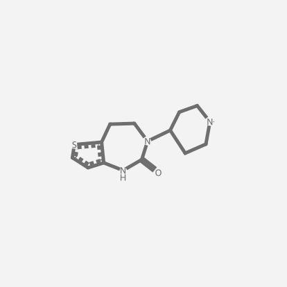 O=C1Nc2ccsc2CCN1C1CC[N]CC1